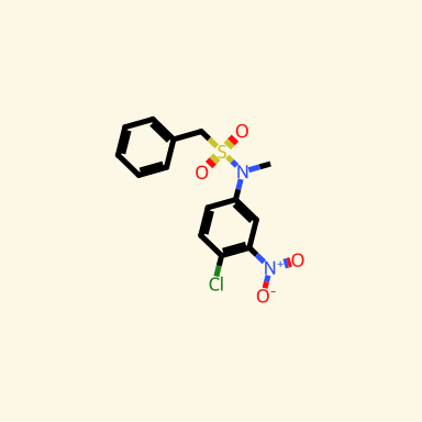 CN(c1ccc(Cl)c([N+](=O)[O-])c1)S(=O)(=O)Cc1ccccc1